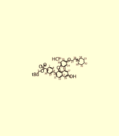 CC(C)(C)COS(=O)(=O)c1ccc(-c2ccc3cc(O)ccc3c2Oc2ccc(OCCN3CCCCC3)cc2)cc1.Cl